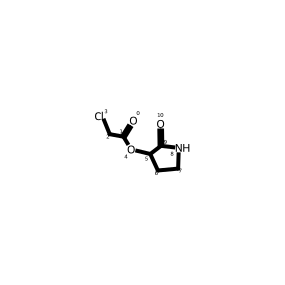 O=C(CCl)OC1CCNC1=O